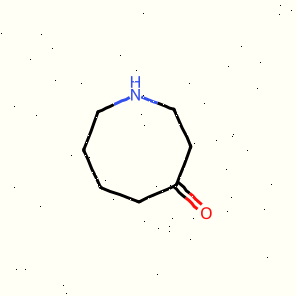 O=C1CCCCNCC1